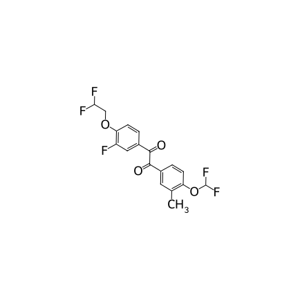 Cc1cc(C(=O)C(=O)c2ccc(OCC(F)F)c(F)c2)ccc1OC(F)F